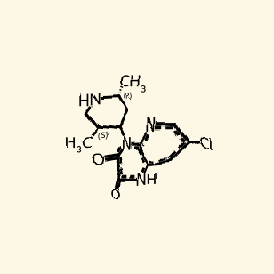 C[C@@H]1CC(n2c(=O)c(=O)[nH]c3cc(Cl)cnc32)[C@@H](C)CN1